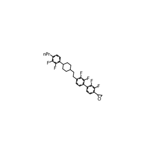 CCCc1ccc(C2CCC(CCc3ccc(-c4ccc(C5CO5)c(F)c4F)c(F)c3F)CC2)c(F)c1F